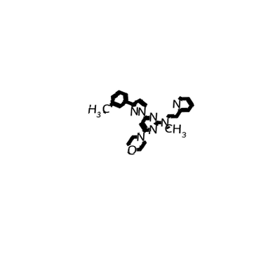 Cc1cccc(-c2ccn(-c3cc(N4CCOCC4)nc(N(C)CCc4ccccn4)n3)n2)c1